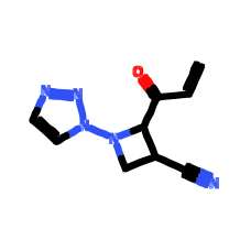 C=CC(=O)C1C(C#N)CN1n1ccnn1